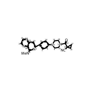 CNc1nc(-c2ccc(N3CCN(C(=O)C4(C#N)CC4)CC3)cc2)cc2nccnc12